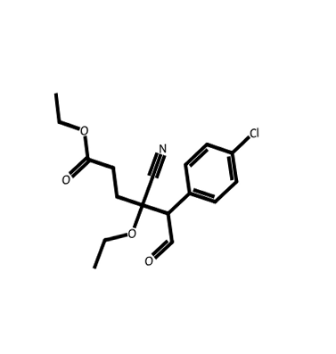 CCOC(=O)CCC(C#N)(OCC)C(C=O)c1ccc(Cl)cc1